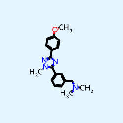 COc1ccc(-c2nc(-c3cccc(CN(C)C)c3)n(C)n2)cc1